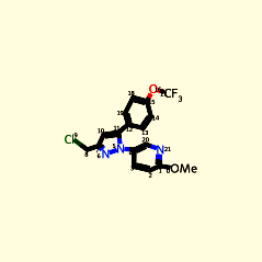 COc1ccc(-n2nc(CCl)cc2-c2ccc(OC(F)(F)F)cc2)cn1